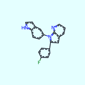 Fc1ccc(-c2cc3cccnc3n2-c2ccc3[nH]ccc3c2)cc1